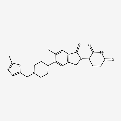 Cc1ncc(CN2CCC(c3cc4c(cc3F)C(=O)N(C3CCC(=O)NC3=O)C4)CC2)s1